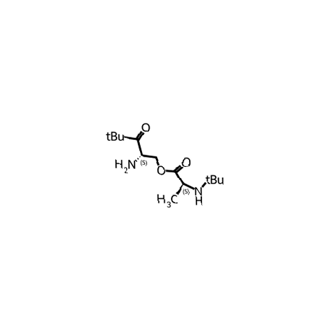 C[C@H](NC(C)(C)C)C(=O)OC[C@H](N)C(=O)C(C)(C)C